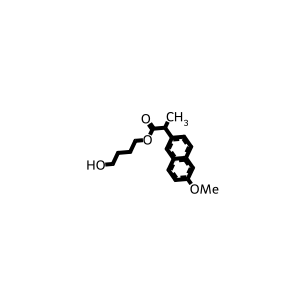 COc1ccc2cc(C(C)C(=O)OCCCCO)ccc2c1